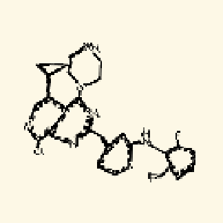 Fc1cccc(F)c1Nc1cc(-c2nc(N3CCNCC3)c3c(C4CC4)cnc(Cl)c3n2)ccn1